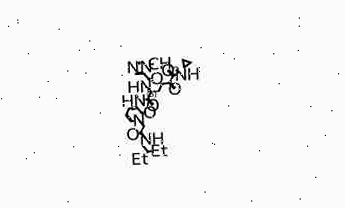 CCC(CC)CNC(=O)Cn1cccc(NC(=O)[C@H](CCC(=O)C(=O)NC2CC2)NC(=O)c2cncn2C)c1=O